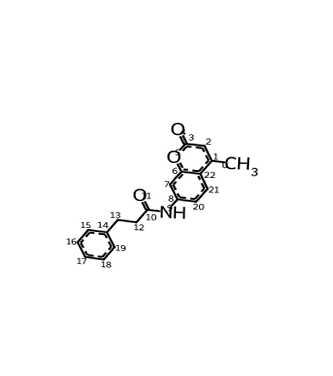 Cc1cc(=O)oc2cc(NC(=O)CCc3ccccc3)ccc12